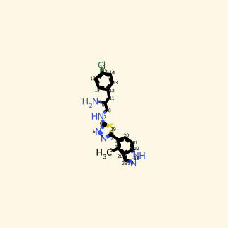 Cc1c(-c2nnc(NCC(N)Cc3ccc(Cl)cc3)s2)ccc2[nH]ncc12